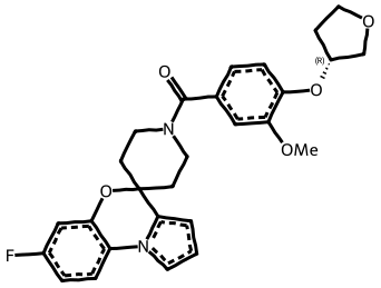 COc1cc(C(=O)N2CCC3(CC2)Oc2cc(F)ccc2-n2cccc23)ccc1O[C@@H]1CCOC1